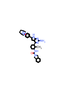 Cc1c(NC(=O)N2Cc3ccccc3C2)cccc1-c1nc(N)nc2[nH]c(-c3ccc(N4C5CCC4CN(C)C5)cc3)cc12